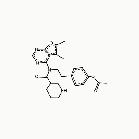 CC(=O)Oc1ccc(CCN(C(=O)C2CCCNC2)c2ncnc3oc(C)c(C)c23)cc1